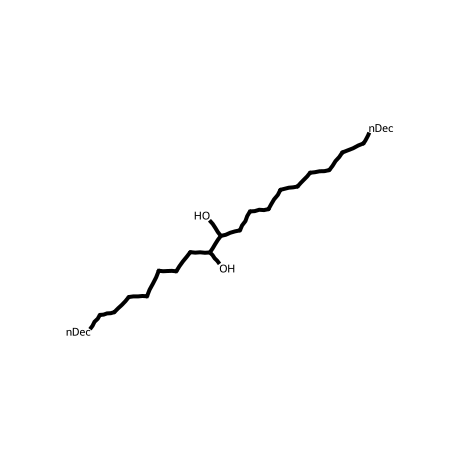 CCCCCCCCCCCCCCCCCCCC(O)C(O)CCCCCCCCCCCCCCCCC